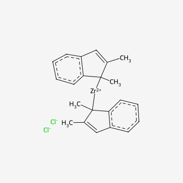 CC1=Cc2ccccc2[C]1(C)[Zr+2][C]1(C)C(C)=Cc2ccccc21.[Cl-].[Cl-]